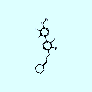 CCOc1ccc(-c2ccc(COC=C3CCCCC3)c(F)c2F)c(F)c1F